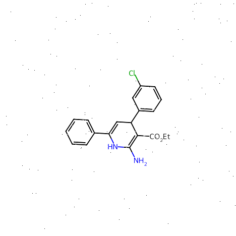 CCOC(=O)C1=C(N)NC(c2ccccc2)=CC1c1cccc(Cl)c1